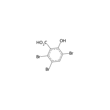 O=C(O)c1c(O)c(Br)cc(Br)c1Br